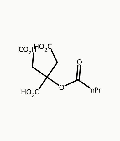 CCCC(=O)OC(CC(=O)O)(CC(=O)O)C(=O)O